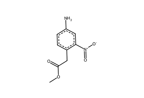 COC(=O)Cc1ccc(N)cc1[N+](=O)[O-]